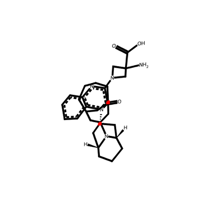 NC1(C(=O)O)CN(c2nc3ccccc3n([C@H]3C[C@H]4CCC[C@@H](C3)N4C3CC4CCCCC(C4)C3)c2=O)C1